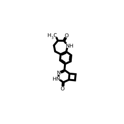 CC1CCc2cc(C3=NNC(=O)C4CCC34)ccc2NC1=O